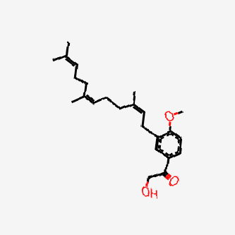 COc1ccc(C(=O)CO)cc1CC=C(C)CCC=C(C)CCC=C(C)C